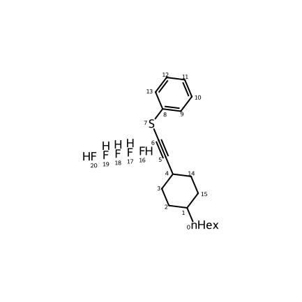 CCCCCCC1CCC(C#CSc2ccccc2)CC1.F.F.F.F.F